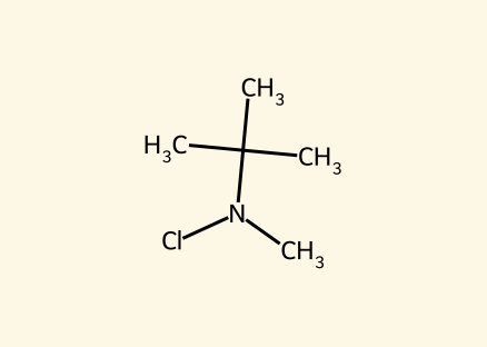 CN(Cl)C(C)(C)C